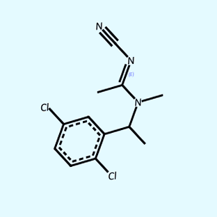 C/C(=N\C#N)N(C)C(C)c1cc(Cl)ccc1Cl